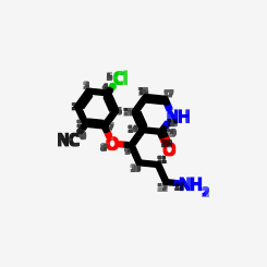 N#Cc1ccc(Cl)cc1OC(CCCN)c1ccc[nH]c1=O